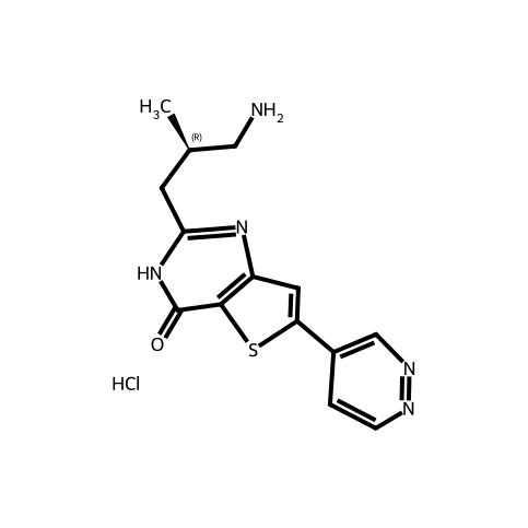 C[C@@H](CN)Cc1nc2cc(-c3ccnnc3)sc2c(=O)[nH]1.Cl